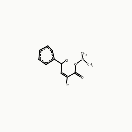 CCC(=CC(Cl)c1ccccc1)C(=O)ON(C)C